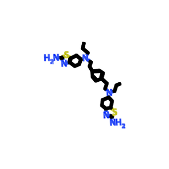 CCCN(CCc1ccc(CCN(CCC)[C@H]2CCC3N=C(N)SC3C2)cc1)C1CCc2nc(N)sc2C1